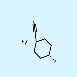 C[C@]1(C#N)CC[C@H](F)CC1